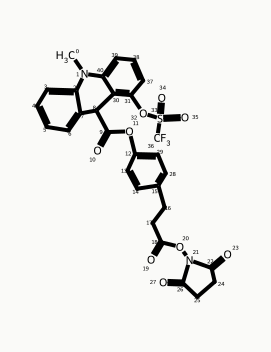 CN1c2ccccc2C(C(=O)Oc2ccc(CCC(=O)ON3C(=O)CCC3=O)cc2)c2c(OS(=O)(=O)C(F)(F)F)cccc21